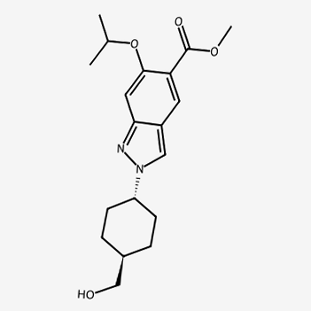 COC(=O)c1cc2cn([C@H]3CC[C@H](CO)CC3)nc2cc1OC(C)C